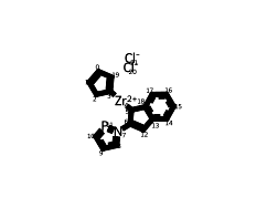 C1=CC[C]([Zr+2][CH]2C(n3cccp3)=Cc3ccccc32)=C1.[Cl-].[Cl-]